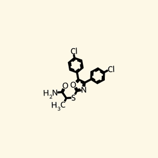 CC(Sc1nc(-c2ccc(Cl)cc2)c(-c2ccc(Cl)cc2)o1)C(N)=O